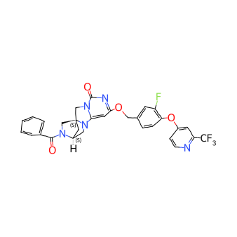 O=C(c1ccccc1)N1C[C@]23C[C@H]1CN2c1cc(OCc2ccc(Oc4ccnc(C(F)(F)F)c4)c(F)c2)nc(=O)n1C3